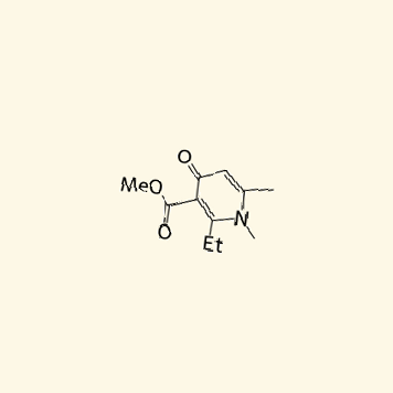 CCc1c(C(=O)OC)c(=O)cc(C)n1C